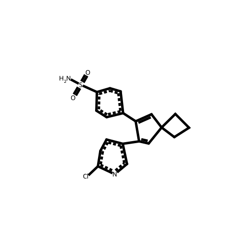 NS(=O)(=O)c1ccc(C2=CC3(C=C2c2ccc(Cl)nc2)CCC3)cc1